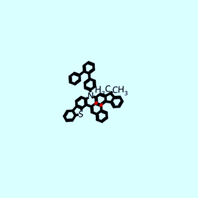 CC1(C)c2ccccc2-c2ccc(N(c3ccc(-c4ccccc4-c4ccccc4)cc3)c3ccc4c(c3-c3ccc5ccccc5c3)SC3C=CC=CC43)cc21